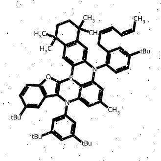 C/C=C\C=C/Cc1cc(C(C)(C)C)ccc1N1c2cc3c(cc2B2c4oc5ccc(C(C)(C)C)cc5c4N(c4cc(C(C)(C)C)cc(C(C)(C)C)c4)c4cc(C)cc1c42)C(C)(C)CCC3(C)C